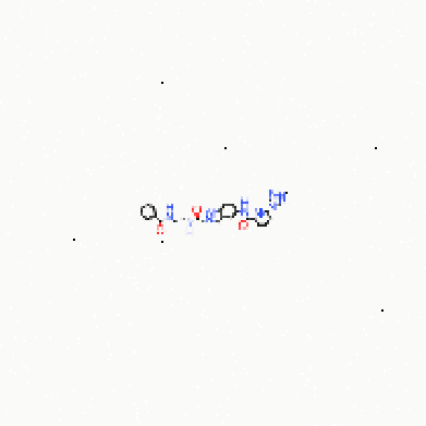 O=C(Cn1cc2cc(NC(=O)c3cccc(-n4cnnc4)n3)ccc2n1)NCCNC(=O)c1ccccc1